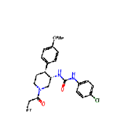 COc1ccc([C@@H]2CCN(C(=O)CC(C)C)C[C@H]2NC(=O)Nc2ccc(Cl)cc2)cc1